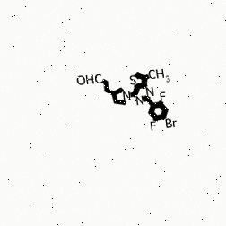 Cc1csc2c(N3CCC(CCC=O)C3)nc(-c3cc(F)c(Br)cc3F)nc12